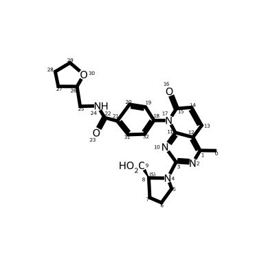 Cc1nc(N2CCC[C@H]2C(=O)O)nc2c1ccc(=O)n2-c1ccc(C(=O)NCC2CCCO2)cc1